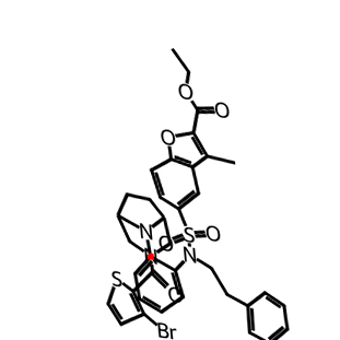 CCOC(=O)c1oc2ccc(S(=O)(=O)N(CCc3ccccc3)c3ccccc3N3C4CCC3CN(C(=O)c3sccc3Br)C4)cc2c1C